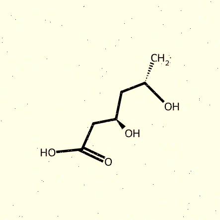 [CH2][C@H](O)C[C@@H](O)CC(=O)O